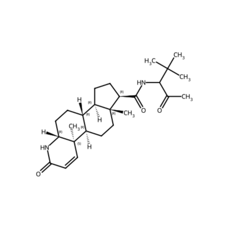 CC(=O)C(NC(=O)[C@@H]1CC[C@@H]2[C@H]3CC[C@H]4NC(=O)C=C[C@]4(C)[C@@H]3CC[C@]21C)C(C)(C)C